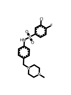 CN1CCN(Cc2ccc(NS(=O)(=O)c3ccc(F)c(Cl)c3)cc2)CC1